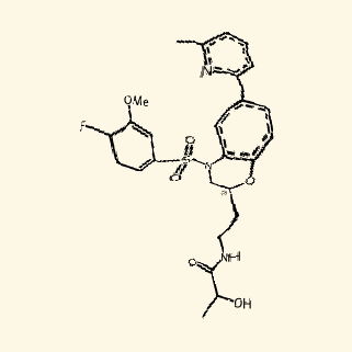 COC1=CC(S(=O)(=O)N2C[C@H](CCNC(=O)C(C)O)Oc3ccc(-c4cccc(C)n4)cc32)=CCC1F